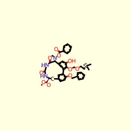 COC(=O)[C@@H]1Cc2ccc(OCc3ccccc3)c(c2)-c2cc(cc(O)c2OCOCC[Si](C)(C)C)[C@H](N(C)OC(=O)c2ccccc2)C(=O)N[C@@H](C)C(=O)N1